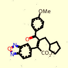 COc1ccc(C(=O)C(CC2CCCC2)=C(C(=O)O)c2ccc3nonc3c2)cc1